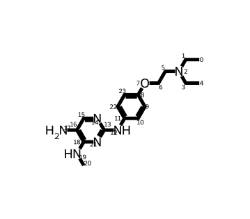 CCN(CC)CCOc1ccc(Nc2ncc(N)c(NC)n2)cc1